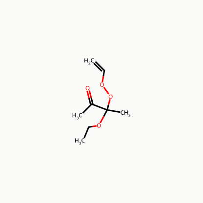 C=COOC(C)(OCC)C(C)=O